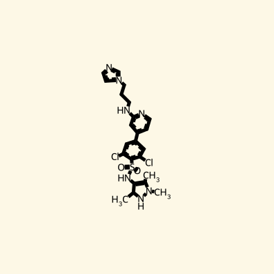 CC1=C(NS(=O)(=O)c2c(Cl)cc(-c3ccnc(NCCCn4ccnc4)c3)cc2Cl)C(C)NN1C